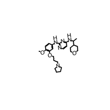 COc1ccc(Nc2nccc(NC(C)C3CCOCC3)n2)cc1OCCCN1CCCC1